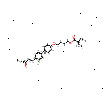 C=C(C)C(=O)OCCCCOc1ccc(-c2ccc(/C=C/C(C)=O)c(F)c2)cc1